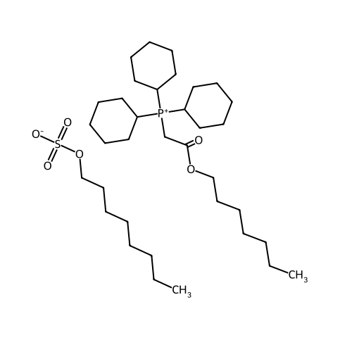 CCCCCCCCOS(=O)(=O)[O-].CCCCCCCOC(=O)C[P+](C1CCCCC1)(C1CCCCC1)C1CCCCC1